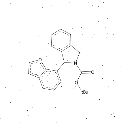 CC(C)(C)OC(=O)N1Cc2ccccc2C1c1cccc2ccoc12